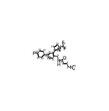 CN(C)C/C=C/C(=O)NCc1cnc(-c2ccc(F)cc2)cc1-c1ccn(C(F)F)n1